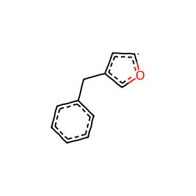 [c]1cc(Cc2ccccc2)co1